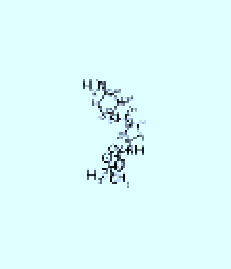 CC(C)(C)OC(=O)NC1CCN(c2ccc3cc(N)ccc3n2)C1